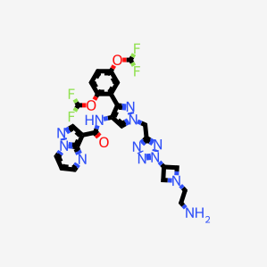 NCCN1CC(n2nnc(Cn3cc(NC(=O)c4cnn5cccnc45)c(-c4cc(OC(F)F)ccc4OC(F)F)n3)n2)C1